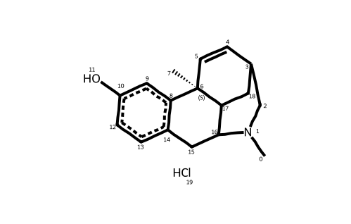 CN1CC2C=C[C@]3(C)c4cc(O)ccc4CC1C3C2.Cl